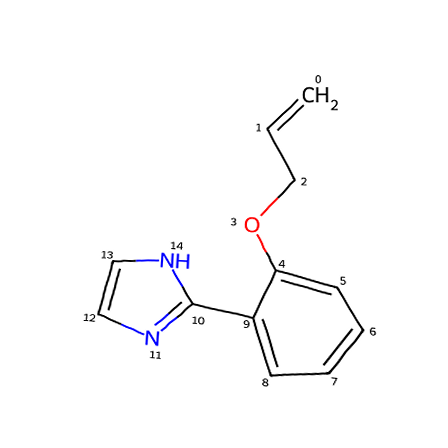 C=CCOc1ccccc1-c1ncc[nH]1